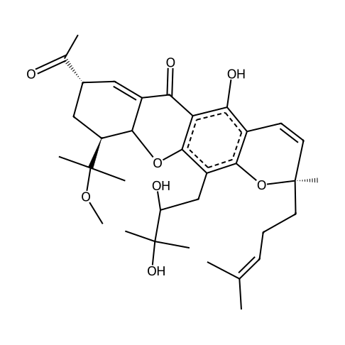 COC(C)(C)[C@H]1C[C@H](C(C)=O)C=C2C(=O)c3c(O)c4c(c(CC(O)C(C)(C)O)c3OC21)O[C@](C)(CCC=C(C)C)C=C4